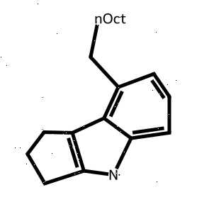 CCCCCCCCCc1cccc2c1C1=C(CCC1)[N]2